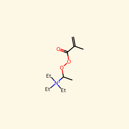 C=C(C)C(=O)OOC(C)[N+](CC)(CC)CC